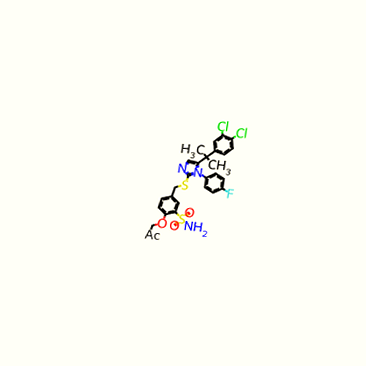 CC(=O)COc1ccc(CSc2ncc(C(C)(C)c3ccc(Cl)c(Cl)c3)n2-c2ccc(F)cc2)cc1S(N)(=O)=O